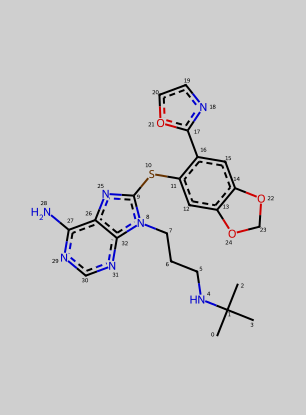 CC(C)(C)NCCCn1c(Sc2cc3c(cc2-c2ncco2)OCO3)nc2c(N)ncnc21